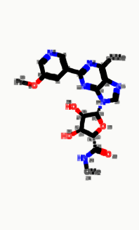 CNc1nc(-c2cncc(OC(C)C)c2)nc2c1ncn2[C@@H]1O[C@H](C(=O)NOC)[C@@H](O)[C@H]1O